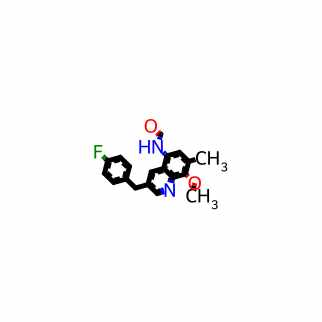 COc1c(C)cc(NC=O)c2cc(Cc3ccc(F)cc3)cnc12